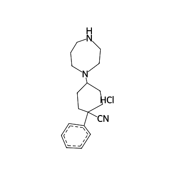 Cl.N#CC1(c2ccccc2)CCC(N2CCCNCC2)CC1